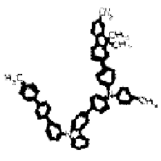 Cc1ccc(-c2ccc(-c3cccc(-n4c5ccccc5c5cc(-c6ccc(N(c7ccc(C)cc7)c7ccc(-c8ccc9c(c8)C(C)(C)c8cc(C)ccc8-9)cc7)cc6)ccc54)c3)cc2)cc1